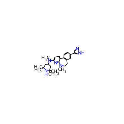 CN1CCc2cc(-c3cn[nH]c3)ccc2-c2ccc(N(C)C3CC(C)(C)NC(C)(C)C3)nc21